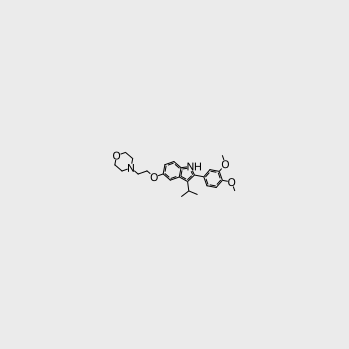 COc1ccc(-c2[nH]c3ccc(OCCN4CCOCC4)cc3c2C(C)C)cc1OC